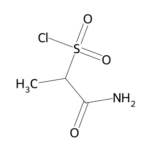 CC(C(N)=O)S(=O)(=O)Cl